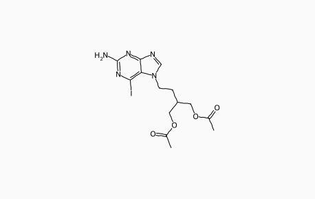 CC(=O)OCC(CCn1cnc2nc(N)nc(I)c21)COC(C)=O